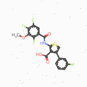 COc1c(F)c(F)cc(C(=O)Nc2scc(-c3cccc(F)c3)c2C(=O)O)c1F